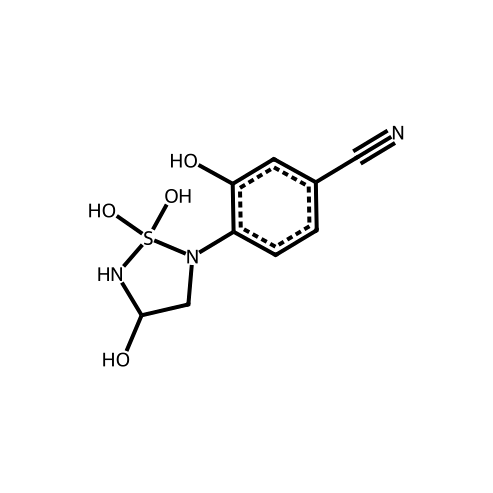 N#Cc1ccc(N2CC(O)NS2(O)O)c(O)c1